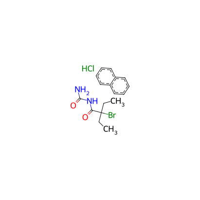 CCC(Br)(CC)C(=O)NC(N)=O.Cl.c1ccc2ccccc2c1